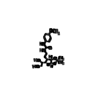 COc1ccc(NC(=O)NCC[C@H]2[C@H]3OC(C)(C)O[C@H]3O[C@@H]2[C@H](O)CO)cc1